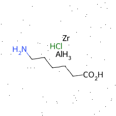 Cl.NCCCCCC(=O)O.[AlH3].[Zr]